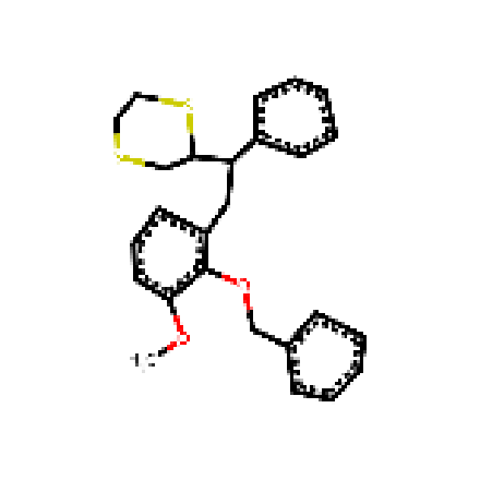 COc1cccc(CC(c2ccccc2)C2CSCCS2)c1OCc1ccccc1